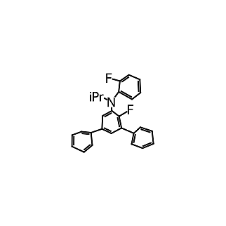 CC(C)N(c1ccccc1F)c1cc(-c2ccccc2)cc(-c2ccccc2)c1F